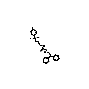 CC(C)C(C#N)(CCCNC(=O)CNCC(c1ccccc1)c1ccccc1)c1ccc(Cl)cc1